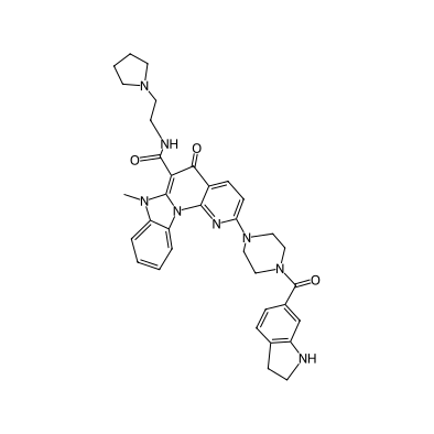 Cn1c2ccccc2n2c3nc(N4CCN(C(=O)c5ccc6c(c5)NCC6)CC4)ccc3c(=O)c(C(=O)NCCN3CCCC3)c12